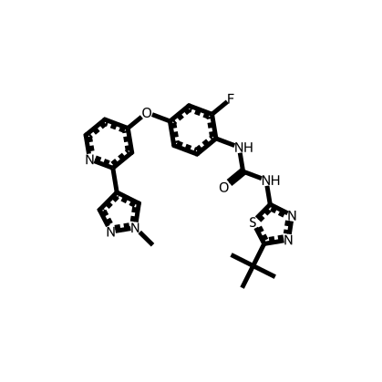 Cn1cc(-c2cc(Oc3ccc(NC(=O)Nc4nnc(C(C)(C)C)s4)c(F)c3)ccn2)cn1